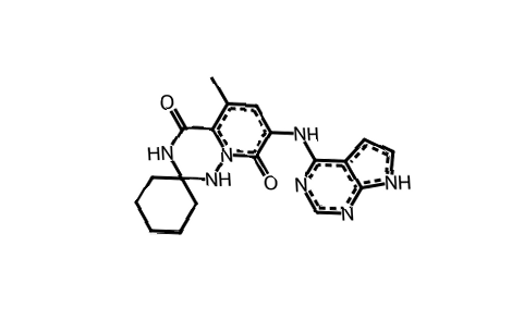 Cc1cc(Nc2ncnc3[nH]ccc23)c(=O)n2c1C(=O)NC1(CCCCC1)N2